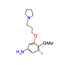 COc1c(F)cc(N)cc1OCCCN1CCCC1